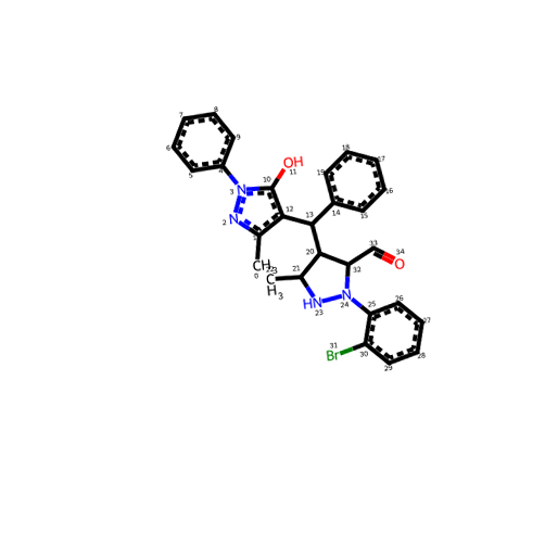 Cc1nn(-c2ccccc2)c(O)c1C(c1ccccc1)C1C(C)NN(c2ccccc2Br)C1C=O